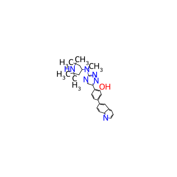 CN(c1ncc(-c2ccc(-c3ccc4ncccc4c3)cc2O)nn1)C1CC(C)(C)NC(C)(C)C1